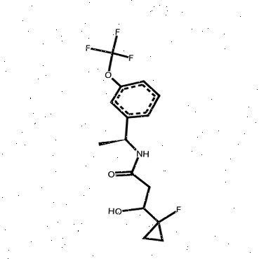 C[C@H](NC(=O)CC(O)C1(F)CC1)c1cccc(OC(F)(F)F)c1